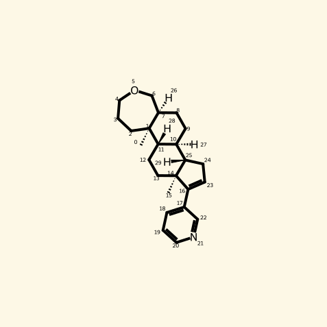 C[C@]12CCCOC[C@H]1CC[C@@H]1[C@@H]2CC[C@]2(C)C(c3cccnc3)=CC[C@@H]12